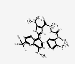 COc1ccccc1N(C)C(=O)CN(C)C(=O)c1nc(-c2ccc(OC)c3nc(C(F)(F)F)ccc23)oc1[C@H](C)N